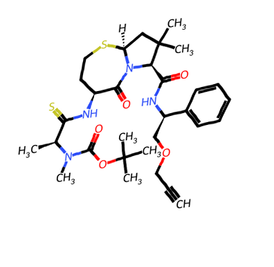 C#CCOC[C@@H](NC(=O)[C@H]1N2C(=O)[C@@H](NC(=S)[C@H](C)N(C)C(=O)OC(C)(C)C)CCS[C@H]2CC1(C)C)c1ccccc1